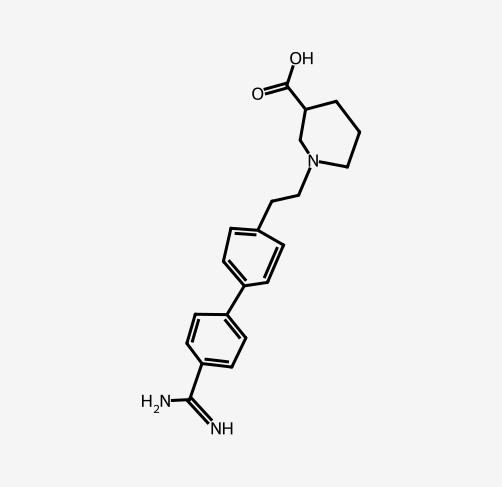 N=C(N)c1ccc(-c2ccc(CCN3CCCC(C(=O)O)C3)cc2)cc1